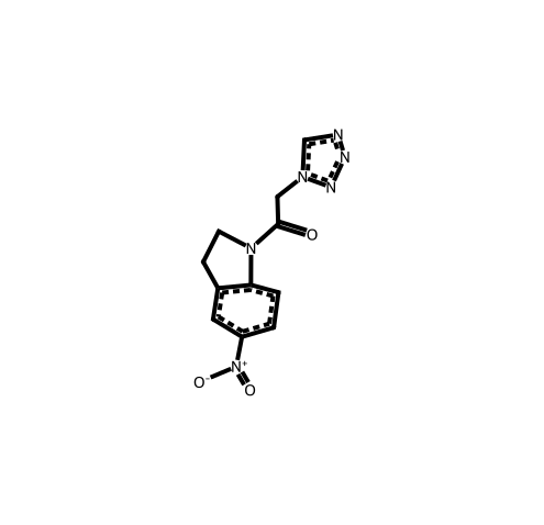 O=C(Cn1cnnn1)N1CCc2cc([N+](=O)[O-])ccc21